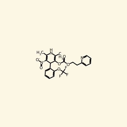 CC1=C(OC(=O)OCCc2ccccn2)C(c2ccccc2OC(F)(F)F)C([N+](=O)[O-])=C(C)N1